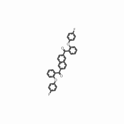 O=C(c1ccc2cc(C(=O)c3ccccc3Oc3ccc(F)cc3)ccc2c1)c1ccccc1Oc1ccc(F)cc1